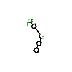 FC(=CCC#Cc1ccc(C(F)(F)F)cc1)c1ccc(-c2ccccc2)cc1